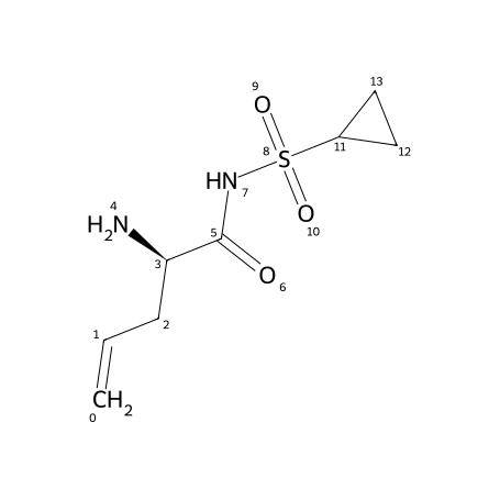 C=CC[C@@H](N)C(=O)NS(=O)(=O)C1CC1